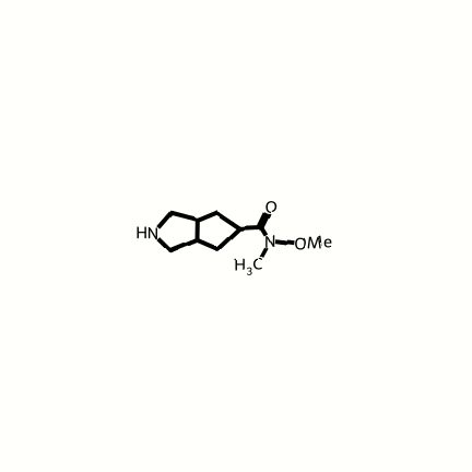 CON(C)C(=O)C1CC2CNCC2C1